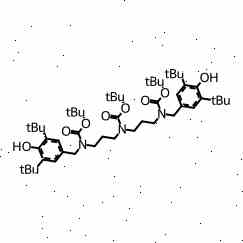 CC(C)(C)OC(=O)N(CCCN(Cc1cc(C(C)(C)C)c(O)c(C(C)(C)C)c1)C(=O)OC(C)(C)C)CCCN(Cc1cc(C(C)(C)C)c(O)c(C(C)(C)C)c1)C(=O)OC(C)(C)C